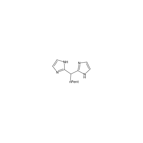 CCCCCC(c1ncc[nH]1)c1ncc[nH]1